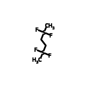 CS(F)(F)CCS(C)(F)F